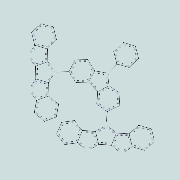 c1ccc(-n2c3ccc(-n4c5c6ccccc6oc5c5oc6ccccc6c54)cc3c3cc(-n4c5c6ccccc6oc5c5oc6ccccc6c54)ccc32)cc1